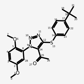 COc1ccc(OC)c(-n2nnc(Sc3ccc(C(C)(C)C)cc3)c2C(C)=O)c1